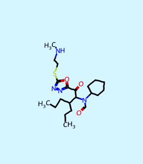 CCCC(CCC)C(C(=O)c1nnc(SCCNC)o1)N(C=O)C1CCCCC1